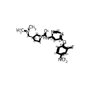 CN(C)C[C@@H]1CCN(C(=O)Nc2cc(Oc3ccc([N+](=O)[O-])cc3F)ncn2)C1